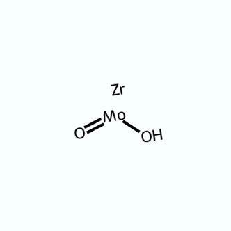 [O]=[Mo][OH].[Zr]